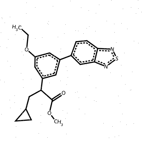 CCOc1cc(-c2ccc3nsnc3c2)cc(C(CC2CC2)C(=O)OC)c1